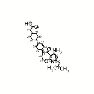 CC(C)Sc1nc(N)c2c(n1)OCCN(c1ccc([C@H]3CC[C@H](CC(=O)O)CC3)cc1)C2=O